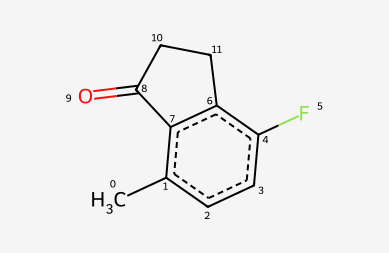 Cc1ccc(F)c2c1C(=O)CC2